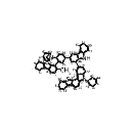 Cc1ccc2c(sc3ccccc32)c1-c1cc(-c2cc(-c3ccc4c(c3)c3c5sc6ccccc6c5ccc3n4-c3ccccc3)c3[nH]c4ccccc4c3c2)ccc1N1C2=CC=CC1=C2